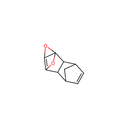 C1=CC2CC1C1C3=C4OC4(O3)C21